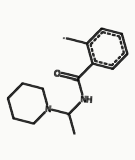 [CH2]c1ccccc1C(=O)NC(C)N1CCCCC1